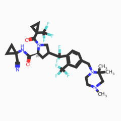 CN1CCN(Cc2ccc(C(F)(F)C3C[C@@H](C(=O)NC4(C#N)CC4)N(C(=O)C4(C(F)(F)F)CC4)C3)c(C(F)(F)F)c2)C(C)(C)C1